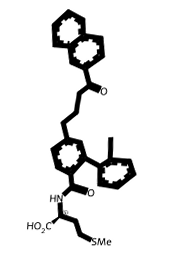 CSCC[C@H](NC(=O)c1ccc(CCCC(=O)c2ccc3ccccc3c2)cc1-c1ccccc1C)C(=O)O